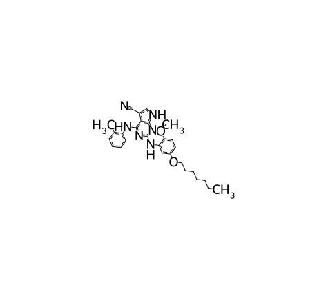 CCCCCCCOc1ccc(OC)c(Nc2nc(Nc3ccccc3C)c3c(C#N)c[nH]c3n2)c1